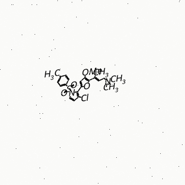 COc1cc(-c2c(Cl)ccn2S(=O)(=O)c2ccc(C)cc2)oc1/C(C)=C/CN(C)C